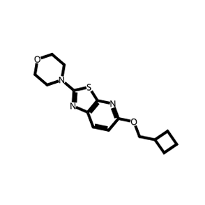 c1cc2nc(N3CCOCC3)sc2nc1OCC1CCC1